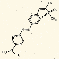 CN(C)c1ccc(N=Nc2ccc(C=C(C#N)S(C)(=O)=O)cc2)cc1